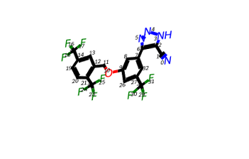 N#Cc1[nH]nnc1-c1cc(OCc2cc(C(F)(F)F)ccc2C(F)(F)F)cc(C(F)(F)F)c1